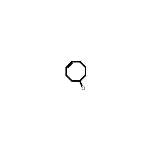 ClC1CC/C=C\CCC1